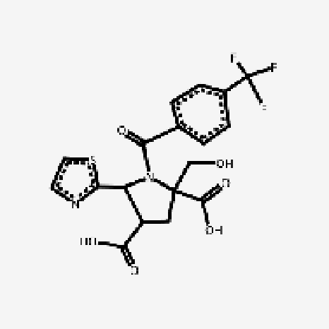 O=C(O)C1CC(CO)(C(=O)O)N(C(=O)c2ccc(C(F)(F)F)cc2)C1c1nccs1